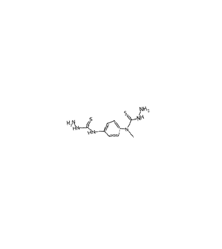 CN(C(=S)NN)c1ccc(NC(=S)NN)cc1